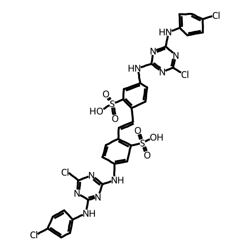 O=S(=O)(O)c1cc(Nc2nc(Cl)nc(Nc3ccc(Cl)cc3)n2)ccc1C=Cc1ccc(Nc2nc(Cl)nc(Nc3ccc(Cl)cc3)n2)cc1S(=O)(=O)O